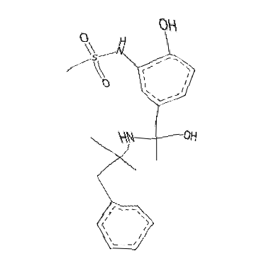 CC(C)(Cc1ccccc1)NC(C)(O)c1ccc(O)c(NS(C)(=O)=O)c1